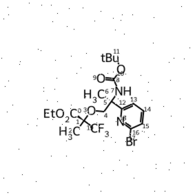 CCOC(=O)[C@@](C)(OC[C@@](C)(NC(=O)OC(C)(C)C)c1cccc(Br)n1)C(F)(F)F